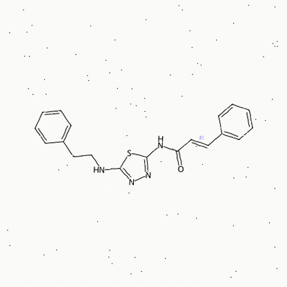 O=C(/C=C/c1ccccc1)Nc1nnc(NCCc2ccccc2)s1